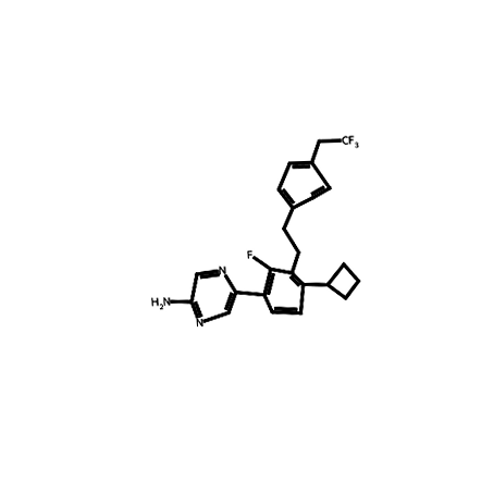 Nc1cnc(-c2ccc(C3CCC3)c(CCc3ccc(CC(F)(F)F)cc3)c2F)cn1